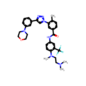 Cc1ccc(C(=O)Nc2ccc(N(C)CCN(C)C)c(C(F)(F)F)c2)cc1-n1cc(-c2cccc(N3CCOCC3)c2)nn1